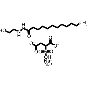 CCCCCCCCCCCC(=O)NNCCO.O=C([O-])CC(C(=O)[O-])S(=O)(=O)O.[Na+].[Na+]